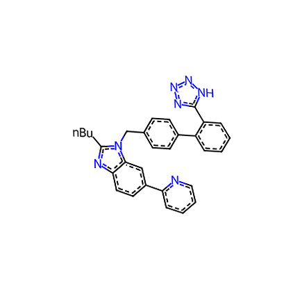 CCCCc1nc2ccc(-c3ccccn3)cc2n1Cc1ccc(-c2ccccc2-c2nnn[nH]2)cc1